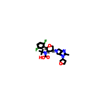 Cc1nc2c(n1C1CCOC1)CN([C@H]1CO[C@H](c3cc(F)ccc3F)[C@@H](N(C(=O)O)C(C)(C)C)C1)C2